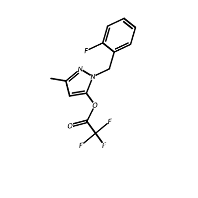 Cc1cc(OC(=O)C(F)(F)F)n(Cc2ccccc2F)n1